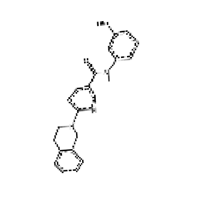 CC(C)(C)c1cccc(NC(=O)c2ccc(N3CCc4ccccc4C3)nc2)c1